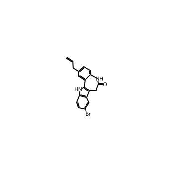 C=CCc1ccc2c(c1)-c1[nH]c3ccc(Br)cc3c1CC(=O)N2